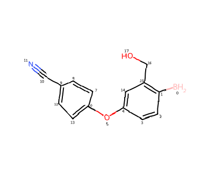 Bc1ccc(Oc2ccc(C#N)cc2)cc1CO